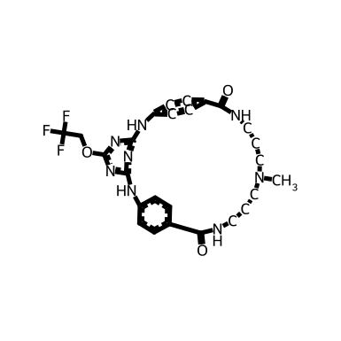 CN1CCCNC(=O)c2ccc(cc2)Nc2nc(nc(OCC(F)(F)F)n2)Nc2ccc(cc2)C(=O)NCCC1